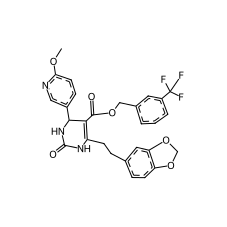 COc1ccc(C2NC(=O)NC(CCc3ccc4c(c3)OCO4)=C2C(=O)OCc2cccc(C(F)(F)F)c2)cn1